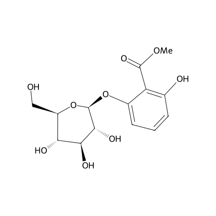 COC(=O)c1c(O)cccc1O[C@@H]1O[C@H](CO)[C@@H](O)[C@H](O)[C@H]1O